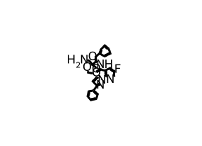 NC(=O)C1(C(Cc2ccccc2)NC(=O)c2cc(F)cnc2-n2ccc(-c3ccccc3)n2)OCCO1